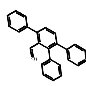 [CH]=Cc1c(-c2[c]cccc2)ccc(-c2ccccc2)c1-c1ccccc1